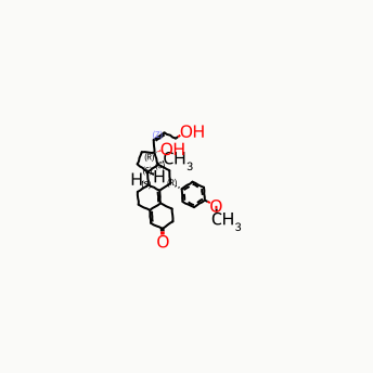 COc1ccc([C@H]2C[C@@]3(C)[C@@H](CC[C@@]3(O)/C=C\CO)[C@@H]3CCC4=CC(=O)CCC4=C32)cc1